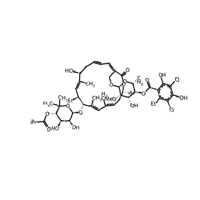 CCc1c(Cl)c(O)c(Cl)c(O)c1C(=O)O[C@H]1[C@H](O)[C@H](OC)C(OC/C2=C\C=C\C[C@H](O)/C(C)=C/[C@H](CC)[C@@H](O[C@@H]3OC(C)(C)[C@@H](OC(=O)C(C)C)[C@H](O)[C@@H]3O)/C(C)=C/C(C)=C/C[C@@H](C(C)=O)OC2=O)O[C@@H]1C